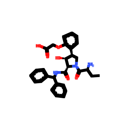 CC[C@H](N)C(=O)N1C[C@H](c2ccccc2OCC(=O)O)[C@@H](O)[C@H]1C(=O)NC(c1ccccc1)c1ccccc1